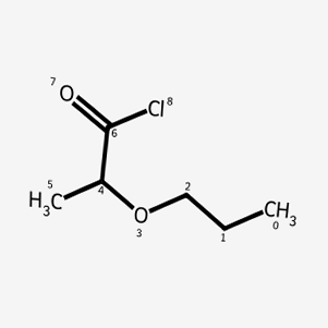 CCCOC(C)C(=O)Cl